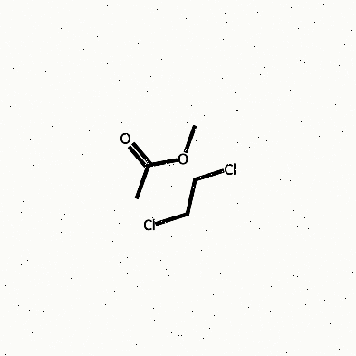 COC(C)=O.ClCCCl